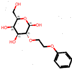 OC[C@H]1O[C@@H](O)[C@H](OCCOc2ccccc2)[C@@H](O)[C@H]1O